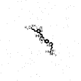 C[C@H](N)CCCc1cc(Cl)c(F)c(-c2cc3cn(-c4ccc([C@H]5CCC(CCNC(=N)N)N5)cc4)c(=O)nc3[nH]2)c1